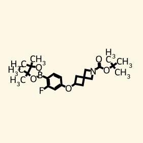 CC(C)(C)OC(=O)N1CC2(CC(Oc3ccc(B4OC(C)(C)C(C)(C)O4)c(F)c3)C2)C1